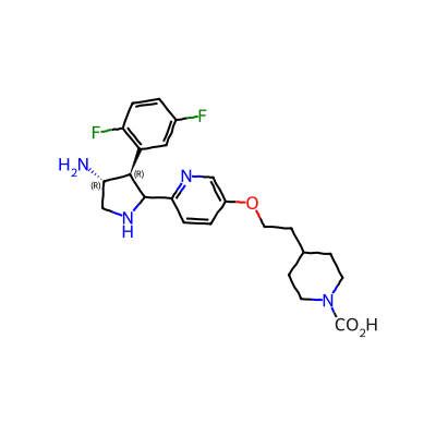 N[C@H]1CNC(c2ccc(OCCC3CCN(C(=O)O)CC3)cn2)[C@@H]1c1cc(F)ccc1F